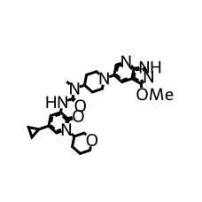 COc1n[nH]c2ncc(N3CCC(N(C)C(=O)Nc4cc(C5CC5)cn(C5CCCOC5)c4=O)CC3)cc12